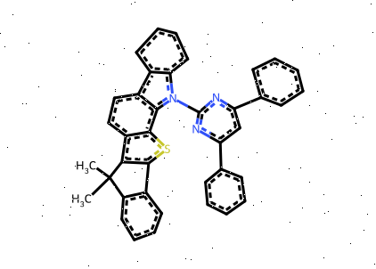 CC1(C)c2ccccc2-c2sc3c(ccc4c5ccccc5n(-c5nc(-c6ccccc6)cc(-c6ccccc6)n5)c43)c21